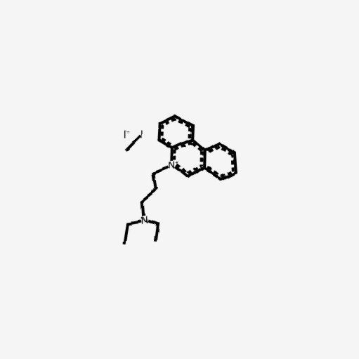 CCN(CC)CCC[n+]1cc2ccccc2c2ccccc21.CI.[I-]